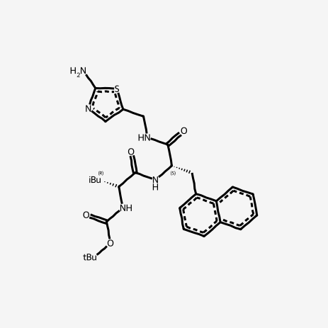 CC[C@@H](C)C(NC(=O)OC(C)(C)C)C(=O)N[C@@H](Cc1cccc2ccccc12)C(=O)NCc1cnc(N)s1